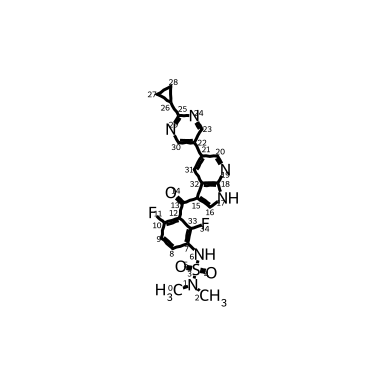 CN(C)S(=O)(=O)Nc1ccc(F)c(C(=O)c2c[nH]c3ncc(-c4cnc(C5CC5)nc4)cc23)c1F